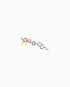 CCCC1CCC2CC(c3ccc(COc4ccc(CC)c(F)c4F)cc3)CCC2C1